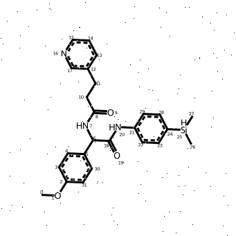 COc1ccc(C(NC(=O)CCc2cccnc2)C(=O)Nc2ccc([SiH](C)C)cc2)cc1